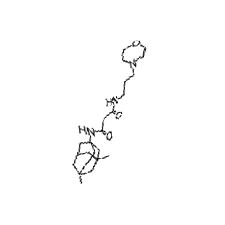 CC12CC3CC(C)(C1)CC(NC(=O)CC(=O)NCCCN1CCOCC1)(C3)C2